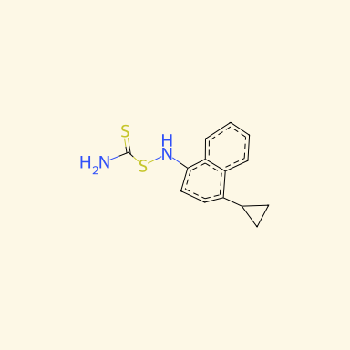 NC(=S)SNc1ccc(C2CC2)c2ccccc12